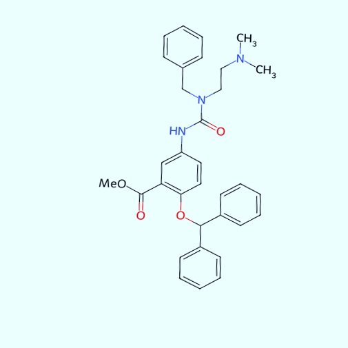 COC(=O)c1cc(NC(=O)N(CCN(C)C)Cc2ccccc2)ccc1OC(c1ccccc1)c1ccccc1